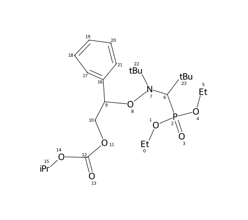 CCOP(=O)(OCC)C(N(OC(COC(=O)OC(C)C)c1ccccc1)C(C)(C)C)C(C)(C)C